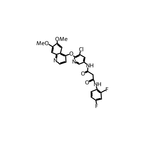 COc1cc2nccc(Oc3ncc(NC(=O)CC(=O)Nc4ccc(F)cc4F)cc3Cl)c2cc1OC